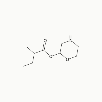 CCC(C)C(=O)OC1CNCCO1